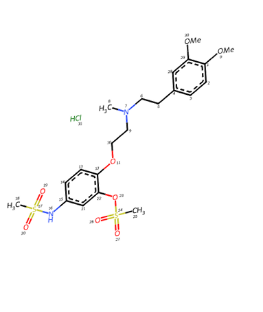 COc1ccc(CCN(C)CCOc2ccc(NS(C)(=O)=O)cc2OS(C)(=O)=O)cc1OC.Cl